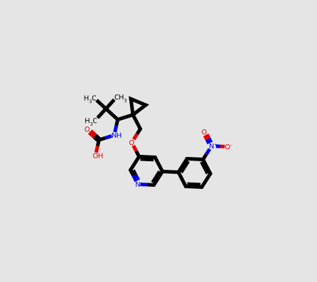 CC(C)(C)C(NC(=O)O)C1(COc2cncc(-c3cccc([N+](=O)[O-])c3)c2)CC1